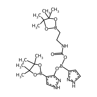 CC1(C)OB(CCNC(=O)OB(Oc2n[nH]cc2B2OC(C)(C)C(C)(C)O2)c2cc[nH]n2)OC1(C)C